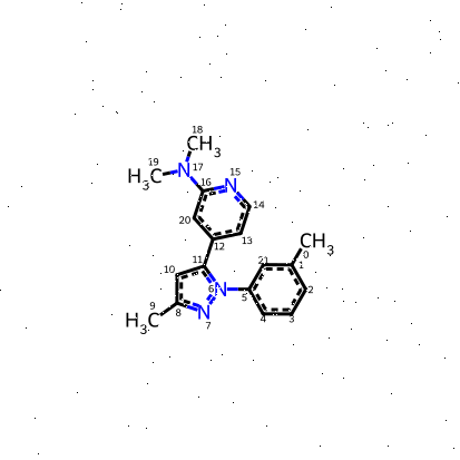 Cc1cccc(-n2nc(C)cc2-c2ccnc(N(C)C)c2)c1